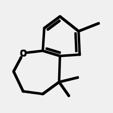 Cc1ccc2c(c1)C(C)(C)CCCO2